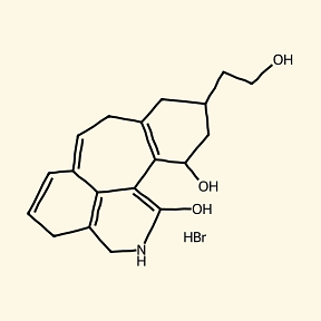 Br.OCCC1CC2=C(C3=C(O)NCC4=C3C(=CC2)C=CC4)C(O)C1